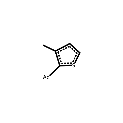 CC(=O)c1sccc1C